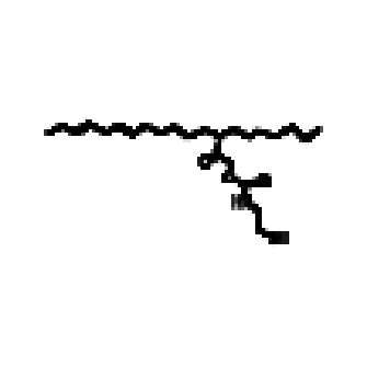 CCC=CCC=CCCCCCC(CCCCCCC)C(=O)COC(=O)NCCS